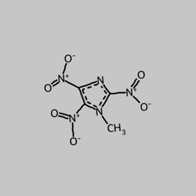 Cn1c([N+](=O)[O-])nc([N+](=O)[O-])c1[N+](=O)[O-]